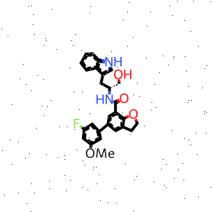 COc1cc(F)cc(-c2cc3c(c(C(=O)N[C@@H](CO)Cc4c[nH]c5ccccc45)c2)OCC3)c1